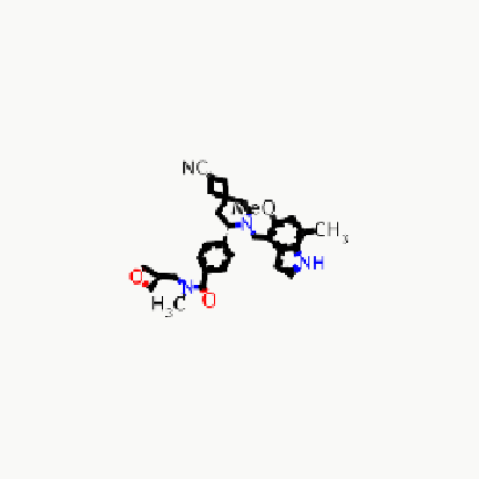 COc1cc(C)c2[nH]ccc2c1CN1CCC2(CC(C#N)C2)C[C@H]1c1ccc(C(=O)N(C)CC2COC2)cc1